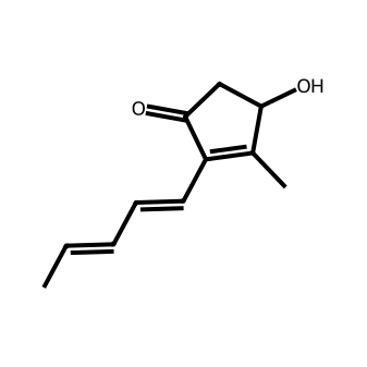 CC=CC=CC1=C(C)C(O)CC1=O